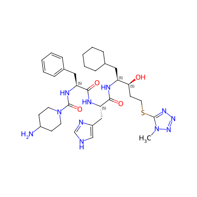 Cn1nnnc1SCC[C@H](O)[C@H](CC1CCCCC1)NC(=O)[C@H](Cc1c[nH]cn1)NC(=O)[C@H](Cc1ccccc1)NC(=O)N1CCC(N)CC1